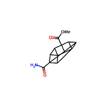 COC(=O)C12C3C4C5(C(N)=O)C6C1C61C5C43C21